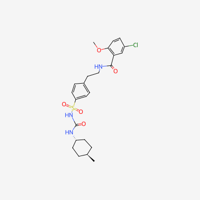 COc1ccc(Cl)cc1C(=O)NCCc1ccc(S(=O)(=O)NC(=O)N[C@H]2CC[C@H](C)CC2)cc1